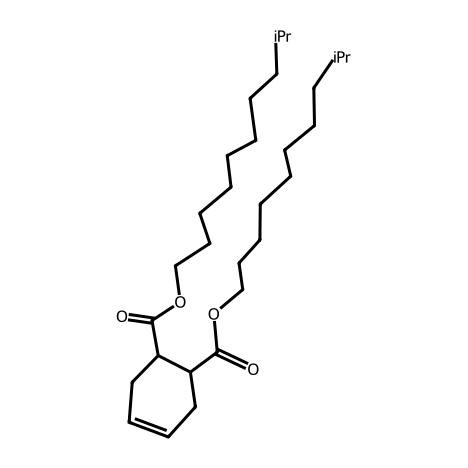 CC(C)CCCCCCCCOC(=O)C1CC=CCC1C(=O)OCCCCCCCCC(C)C